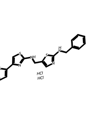 Cl.Cl.c1ccc(CNc2ncc(CNc3nc(-c4cccs4)cs3)s2)cc1